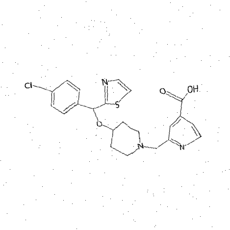 O=C(O)c1ccnc(CN2CCC(OC(c3ccc(Cl)cc3)c3nccs3)CC2)c1